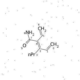 C=CC(CCC)=C(C=C)C(N)=O